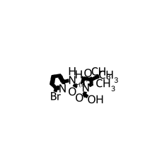 CC(C)(C)C12CN(C(=O)O)[C@H](C(=O)Nc3cccc(Br)n3)[C@@H]1O2